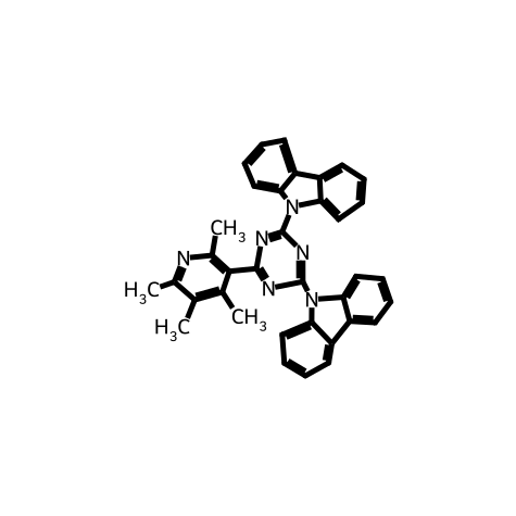 Cc1nc(C)c(-c2nc(-n3c4ccccc4c4ccccc43)nc(-n3c4ccccc4c4ccccc43)n2)c(C)c1C